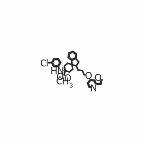 COC(=O)C1(Nc2cccc(Cl)c2)CCC2(CC1)c1ccccc1CC2CCCOc1ccnc2ccoc12